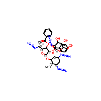 CC(=O)O[C@H]1C(O[C@@H]2O[C@H]([C@H](C)N=[N+]=[N-])C(OC(=O)c3ccccc3)[C@@H]2OC(=O)c2ccccc2)[C@H](O[C@H]2OC(CO)[C@@H](O)C(O)C2N=[N+]=[N-])C(N=[N+]=[N-])C[C@H]1N=[N+]=[N-]